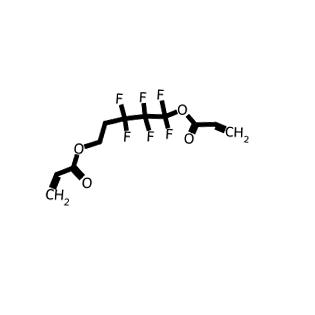 C=CC(=O)OCCC(F)(F)C(F)(F)C(F)(F)OC(=O)C=C